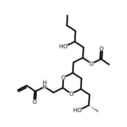 C=CC(=O)NCC1OC(CC(CC(O)CCC)OC(C)=O)CC(C[C@H](C)O)O1